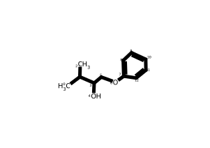 C[C](C)C(O)COc1ccccc1